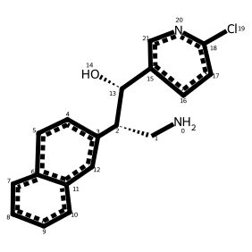 NC[C@H](c1ccc2ccccc2c1)[C@H](O)c1ccc(Cl)nc1